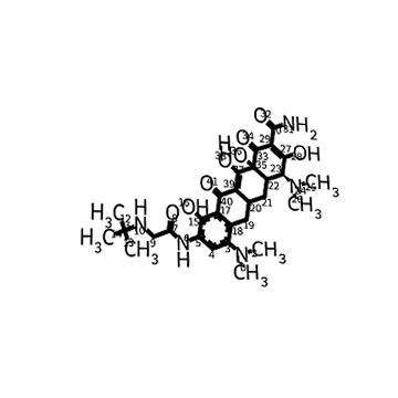 CN(C)c1cc(NC(=O)CNC(C)(C)C)c(O)c2c1CC1CC3[C@H](N(C)C)C(O)=C(C(N)=O)C(=O)C3(O)C(O)=C1C2=O